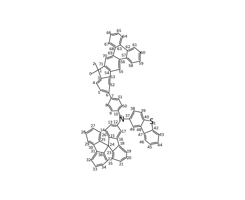 CC1(C)c2ccc(-c3ccc(N(c4ccc5c(c4)-c4ccccc4C54c5ccccc5-c5ccccc54)c4ccc5sc6ccccc6c5c4)cc3)cc2-c2cc3c4ccccc4c4ccccc4c3cc21